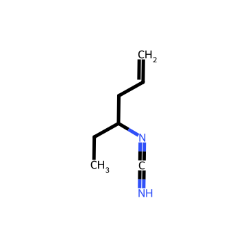 C=CCC(CC)N=C=N